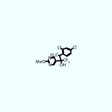 COc1ncc(C(O)(C(C)c2ccc(Cl)cc2Cl)C(F)(F)F)cn1